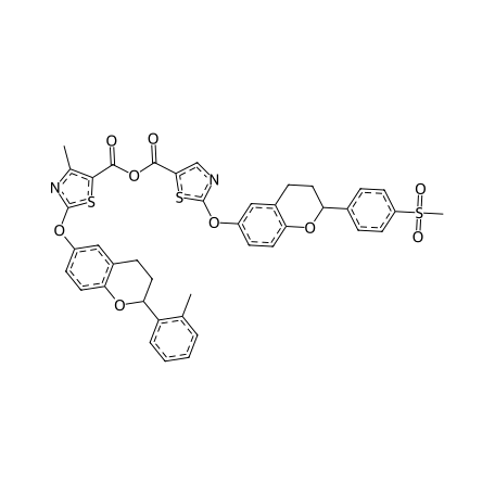 Cc1ccccc1C1CCc2cc(Oc3nc(C)c(C(=O)OC(=O)c4cnc(Oc5ccc6c(c5)CCC(c5ccc(S(C)(=O)=O)cc5)O6)s4)s3)ccc2O1